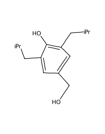 CC(C)Cc1cc(CO)cc(CC(C)C)c1O